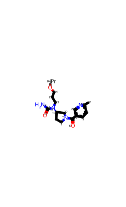 Cc1ccc(C(=O)N2CC[C@@H](N(CCCOC(C)C)C(N)=O)C2)cn1